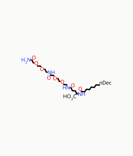 CCCCCCCCCCCCCCCCCC(=O)N[C@@H](CCC(=O)NCCOCCOCC(=O)NCCOCCOCC(N)=O)C(=O)O